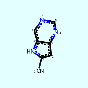 N#Cc1cc2ncncc2[nH]1